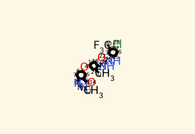 Cc1cc(Oc2ccc3ncn(C)c(=O)c3c2)ccc1NC(=O)Nc1ccc(Cl)c(C(F)(F)F)c1